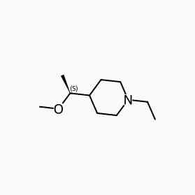 CCN1CCC([C@H](C)OC)CC1